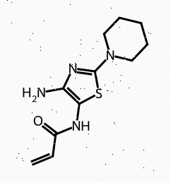 C=CC(=O)Nc1sc(N2CCCCC2)nc1N